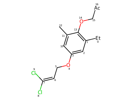 CCc1cc(OCC=C(Cl)Cl)cc(C)c1OCC(C)=O